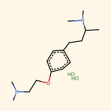 CC(CCc1ccc(OCCN(C)C)cc1)N(C)C.Cl.Cl